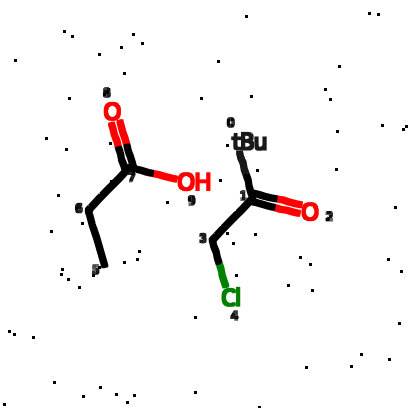 CC(C)(C)C(=O)CCl.CCC(=O)O